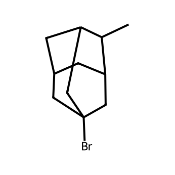 CC1C2CC3CC1CC(Br)(C3)C2